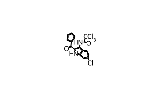 O=C(c1ccccc1)c1[nH]c2cc(Cl)ccc2c1NC(=O)C(Cl)(Cl)Cl